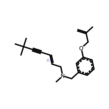 C=C(C)COc1cccc(CN(C)C/C=C/C#CC(C)(C)C)c1